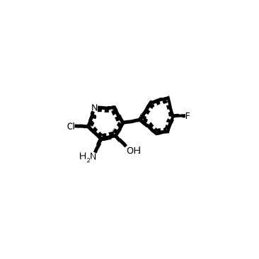 Nc1c(Cl)ncc(-c2ccc(F)cc2)c1O